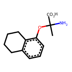 CC(N)(Oc1cccc2c1CCCC2)C(=O)O